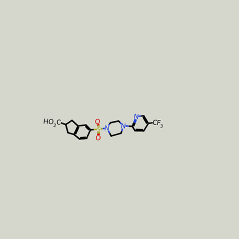 O=C(O)C1Cc2ccc(S(=O)(=O)N3CCN(c4ccc(C(F)(F)F)cn4)CC3)cc2C1